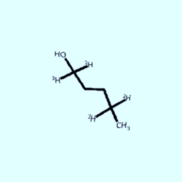 [2H]C([2H])(C)CCC([2H])([2H])O